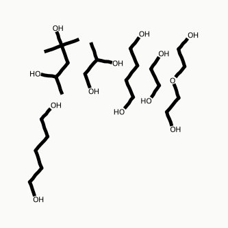 CC(O)CC(C)(C)O.CC(O)CO.OCCCCCO.OCCCCO.OCCO.OCCOCCO